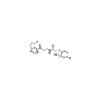 C[C@@H]1CCc2ncnc(NCCNC(=O)C(N)Cc3ccc(F)cc3)c21